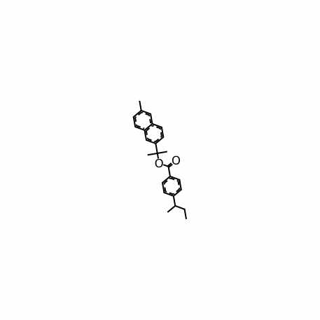 CCC(C)c1ccc(C(=O)OC(C)(C)c2ccc3cc(C)ccc3c2)cc1